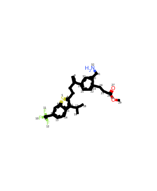 C=C(CCc1sc2cc(C(F)(F)F)ccc2c1C(C)C)c1ccc(CCC(=O)OC)c(CN)c1